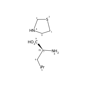 C1CSCN1.CC(C)C[C@H](N)C(=O)O